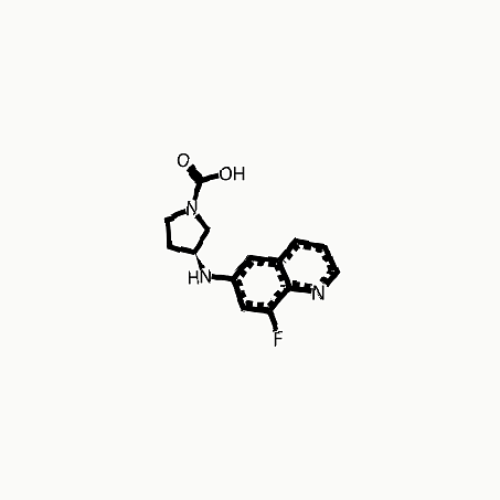 O=C(O)N1CC[C@H](Nc2cc(F)c3ncccc3c2)C1